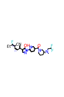 C=C(/C=C\C(C#N)=C(\F)CC)c1cnn(-c2ccc(C(=O)N3CCC[C@@H](N(C)CC(F)F)C3)cn2)c1O